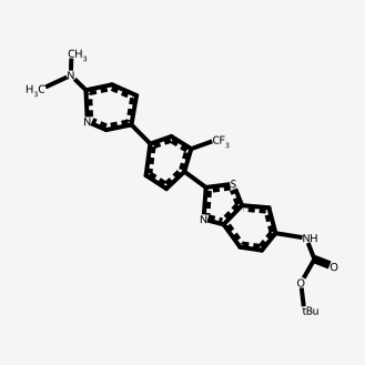 CN(C)c1ccc(-c2ccc(-c3nc4ccc(NC(=O)OC(C)(C)C)cc4s3)c(C(F)(F)F)c2)cn1